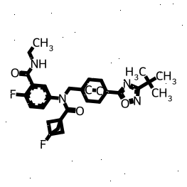 CCNC(=O)c1cc(N(CC23CCC(c4nc(C(C)(C)C)no4)(CC2)CC3)C(=O)C23CC(F)(C2)C3)ccc1F